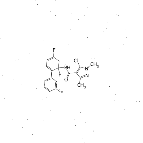 Cc1nn(C)c(Cl)c1C(=O)NC1(F)CC(F)=CC=C1c1cccc(F)c1